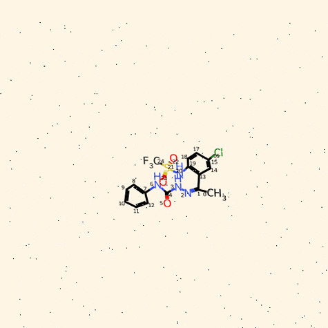 CC(=NNC(=O)Nc1ccccc1)c1cc(Cl)ccc1NS(=O)(=O)C(F)(F)F